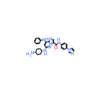 N[C@H]1CC[C@H](Nc2cc(Nc3ccccc3)c3ncc(C(=O)Nc4ccc(-n5ccnc5)cc4)n3n2)CC1